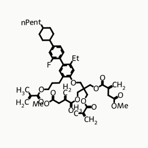 C=C(C)C(=O)OCCCc1cc(-c2ccc(C3CCC(CCCCC)CC3)cc2F)c(CC)cc1OCC(COC(=O)C(=C)C)(COC(=O)C(=C)CC(=O)OC)COC(=O)C(=C)CC(=O)OC